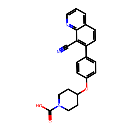 N#Cc1c(-c2ccc(OC3CCN(C(=O)O)CC3)cc2)ccc2cccnc12